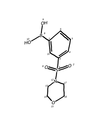 O=S(=O)(c1cccc(B(O)O)c1)N1CCOCC1